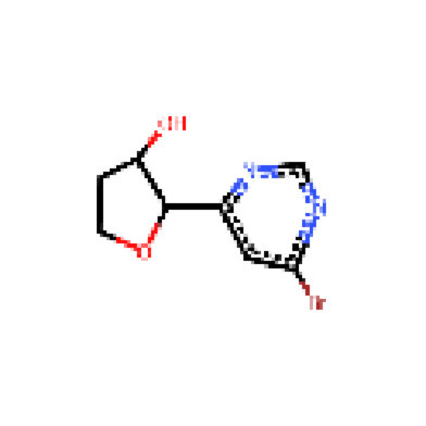 OC1CCOC1c1cc(Br)ncn1